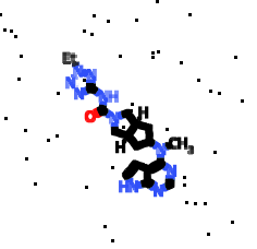 CCn1nnc(NC(=O)N2C[C@H]3CC(N(C)c4ncnc5[nH]ccc45)C[C@H]3C2)n1